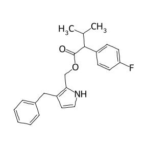 CC(C)C(C(=O)OCc1[nH]ccc1Cc1ccccc1)c1ccc(F)cc1